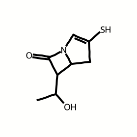 CC(O)C1C(=O)N2C=C(S)CC12